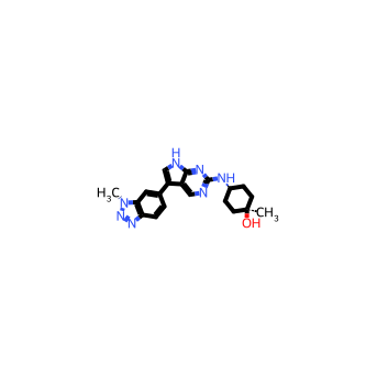 Cn1nnc2ccc(-c3c[nH]c4nc(N[C@H]5CC[C@](C)(O)CC5)ncc34)cc21